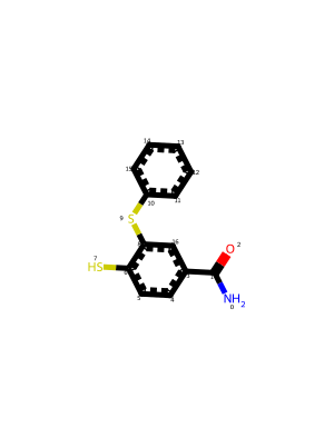 NC(=O)c1ccc(S)c(Sc2ccccc2)c1